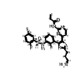 C=CC(=O)Nc1nccc(-c2sc(CCCN)nc2-c2cccc(NS(=O)(=O)c3cc(F)ccc3F)c2F)n1